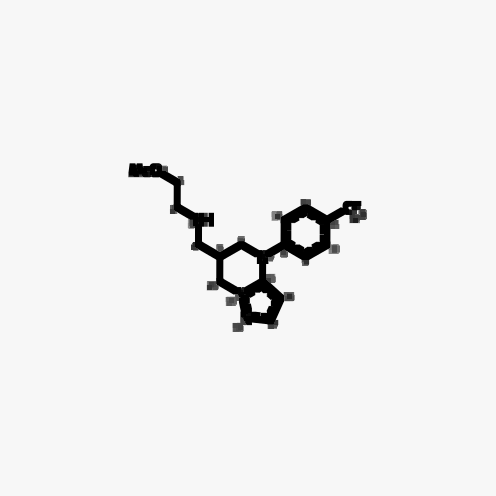 COCCNCC1CN(c2ccc(C(F)(F)F)cc2)c2ccnn2C1